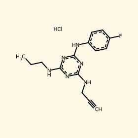 C#CCNc1nc(NCCC)nc(Nc2ccc(F)cc2)n1.Cl